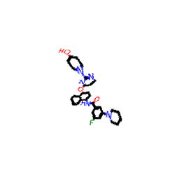 O=C(Nc1ccc(Oc2ccnc(N3CCC(O)CC3)n2)c2ccccc12)c1cc(F)cc(N2CCCCC2)c1